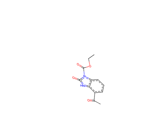 CCOC(=O)n1c(=O)[nH]c2c(C(C)=O)cccc21